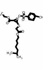 CCOC(=O)C1C(SCC(=O)OCCCCCC(C)C)N1OS(=O)(=O)c1ccc(C)cc1